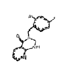 O=C1c2cccnc2NCN1Cc1ccc(F)cc1Br